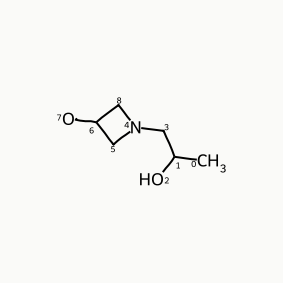 CC(O)CN1CC([O])C1